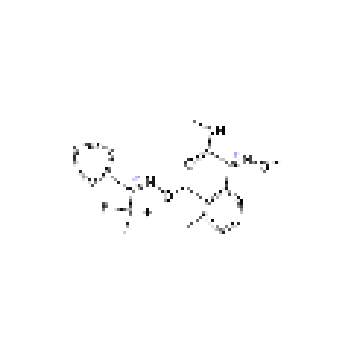 CNC(=O)/C(=N/OC)c1cccc(C)c1CO/N=C(/c1ccccc1)C(C)(F)F